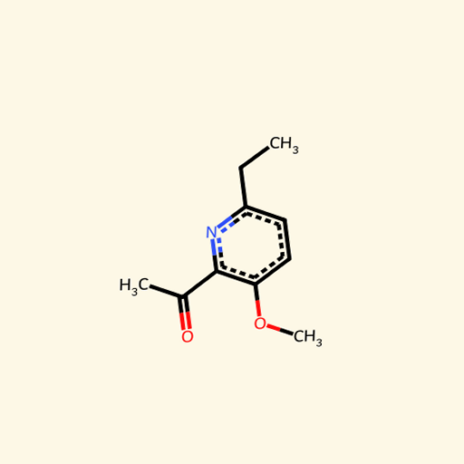 CCc1ccc(OC)c(C(C)=O)n1